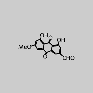 COc1cc(O)c2c(c1)C(=O)c1cc(C=O)cc(O)c1C2=O